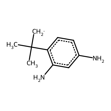 [CH2]C(C)(C)c1ccc(N)cc1N